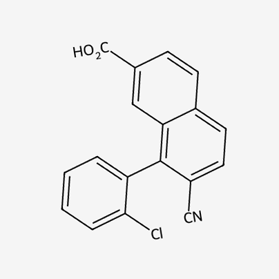 N#Cc1ccc2ccc(C(=O)O)cc2c1-c1ccccc1Cl